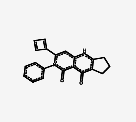 O=c1c2c([nH]c3cc(C4=CC=C4)n(-c4ccccc4)c(=O)c13)CCC2